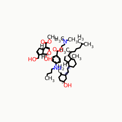 C=C1CC[C@H](O)C/C1=C/C=C1\CCC[C@]2(C)[C@@H]([C@H](C)CCCC(C)C)CC[C@@H]12.CCCCNc1ccc(C(=O)OCCN(C)C)cc1.COC(=O)C1=CO[C@@H](O)[C@@H]2C(CO)=CC[C@H]12